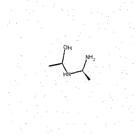 CC(O)N[C@H](C)N